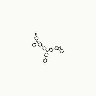 Fc1ccc(-n2c3ccccc3c3cc(-c4ccc(N(c5ccc(-c6ccccc6)cc5)c5ccc(-c6ccc7sc8ccccc8c7c6)cc5)cc4)ccc32)cc1